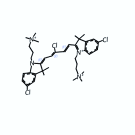 CC1(C)C(/C=C/C(Cl)=C/C=C2/N(CCC[N+](C)(C)C)c3ccc(Cl)cc3C2(C)C)=[N+](CCC[N+](C)(C)C)c2ccc(Cl)cc21